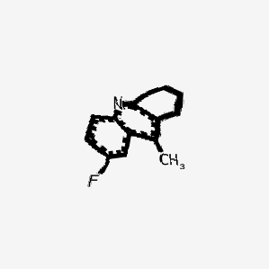 Cc1c2c(nc3ccc(F)cc13)CCC2